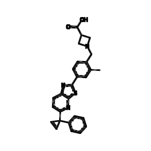 Cc1cc(-c2nc3ccc(C4(c5ccccc5)C=C4)nc3s2)ccc1CN1CC(C(=O)O)C1